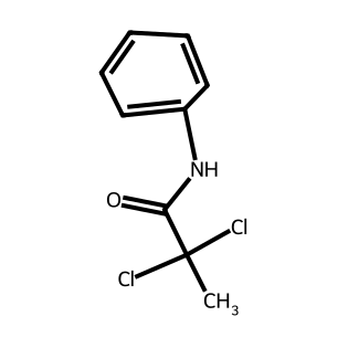 CC(Cl)(Cl)C(=O)Nc1ccccc1